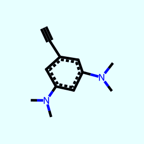 C#Cc1cc(N(C)C)cc(N(C)C)c1